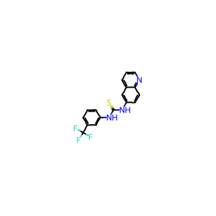 FC(F)(F)c1cccc(NC(=S)Nc2ccc3ncccc3c2)c1